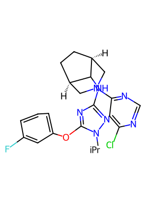 CC(C)n1nc(NC2[C@@H]3CC[C@H]2CN(c2cc(Cl)ncn2)C3)nc1Oc1cccc(F)c1